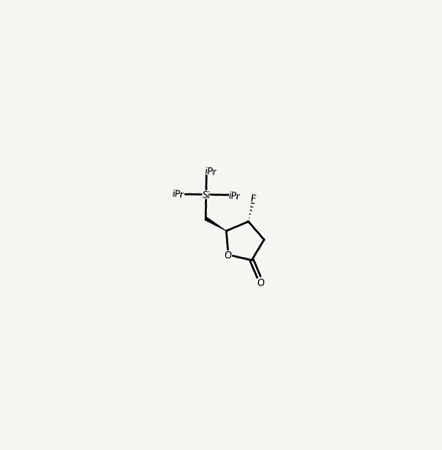 CC(C)[Si](C[C@@H]1OC(=O)C[C@H]1F)(C(C)C)C(C)C